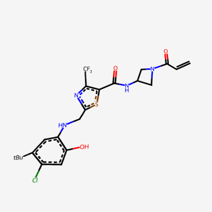 C=CC(=O)N1CC(NC(=O)c2sc(CNc3cc(C(C)(C)C)c(Cl)cc3O)nc2C(F)(F)F)C1